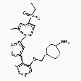 CCS(=O)(=O)c1ccc(-n2cc(-c3ncncc3OCC3CCC(N)CC3)cn2)c(F)c1